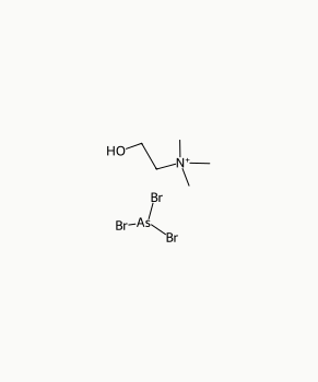 Br[As](Br)Br.C[N+](C)(C)CCO